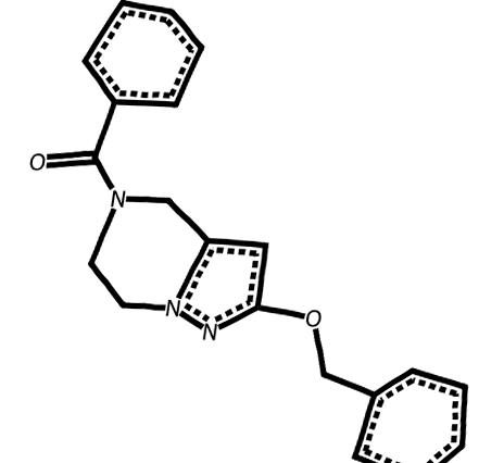 O=C(c1ccccc1)N1CCn2nc(OCc3ccccc3)cc2C1